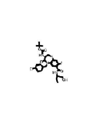 CCC(CO)NC(=O)c1cc2c(cc1F)SC[C@H](NC(=O)OC(C)(C)C)C(=O)N2CC1C=CC(Cl)=CC1